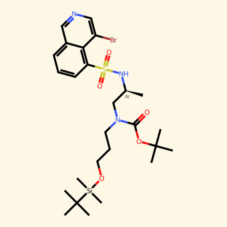 C[C@@H](CN(CCCO[Si](C)(C)C(C)(C)C)C(=O)OC(C)(C)C)NS(=O)(=O)c1cccc2cncc(Br)c12